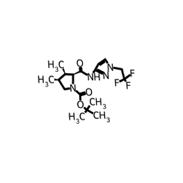 C[C@@H]1[C@H](C)CN(C(=O)OC(C)(C)C)[C@@H]1C(=O)Nc1ccn(CC(F)(F)F)n1